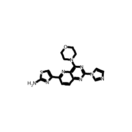 Nc1nc(-c2ccc3nc(-n4ccnc4)nc(N4CCOCC4)c3n2)cs1